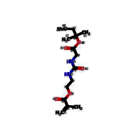 C=C(C)C(=O)OCCNC(=O)NCC(=O)OC(C)(C)COC